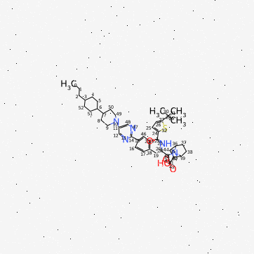 CCCC1CCC(C2CCN(c3cnc(-c4ccc(C[C@H](NC(=O)c5ccc(C(C)(C)C)s5)C(=O)N5C6CCC5[C@@H](C(=O)O)C6)cc4)nc3)CC2)CC1